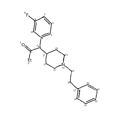 CCC(=O)N(c1cccc(F)c1)C1CCN(CCc2ccccc2)CC1